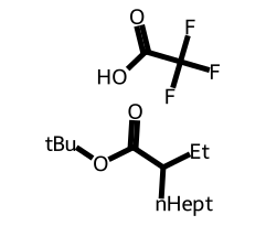 CCCCCCCC(CC)C(=O)OC(C)(C)C.O=C(O)C(F)(F)F